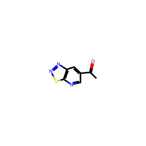 CC(=O)c1cnc2snnc2c1